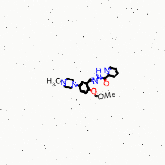 COCOc1ccc(N2CCN(C)CC2)cc1/C=N/NC(=O)c1ccccn1